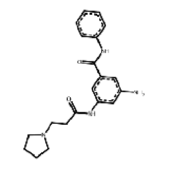 Nc1cc(NC(=O)CCN2CCCC2)cc(C(=O)Nc2ccccc2)c1